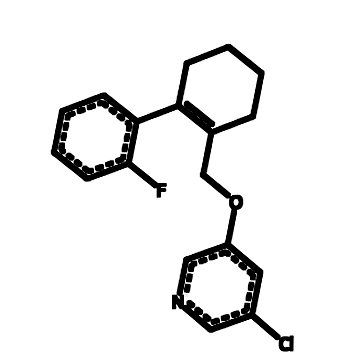 Fc1ccccc1C1=C(COc2cncc(Cl)c2)CCCC1